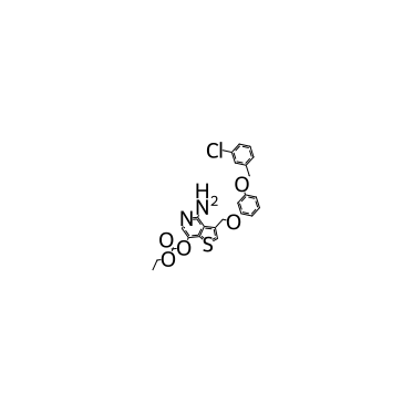 CCOC(=O)Oc1cnc(N)c2c(COc3cccc(OCc4cccc(Cl)c4)c3)csc12